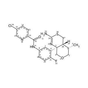 C[C@@H]1COC[C@@]2(c3cc(NC(=O)c4ccc(Cl)cn4)ccc3F)N=C(N)SC[C@H]12